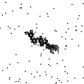 CC(=O)N(C[C@@H]1CN(Cc2ccc(Cl)c(Cl)c2)CCO1)Sc1nc(C(=O)NCC(=O)OC(C)(C)C)cs1